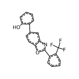 Oc1ccccc1-c1ccc2oc(-c3ccccc3C(F)(F)F)nc2c1